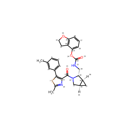 Cc1cccc(-c2sc(C)nc2C(=O)N2C[C@@H]3C[C@@H]3[C@H]2CNC(=O)Oc2cccc3c2CCO3)c1